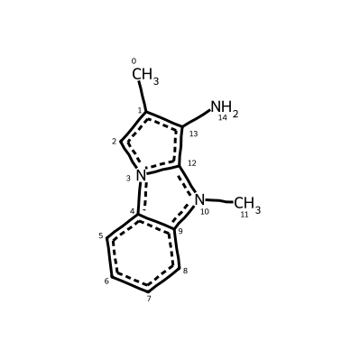 Cc1cn2c3ccccc3n(C)c2c1N